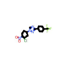 O=[N+]([O-])c1ccc(-n2cnc(-c3ccc(C(F)(F)F)cc3)n2)cc1Cl